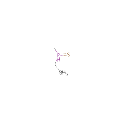 BC[PH](C)=S